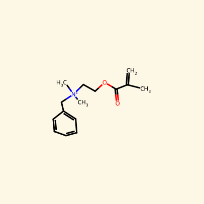 C=C(C)C(=O)OCC[N+](C)(C)Cc1ccccc1